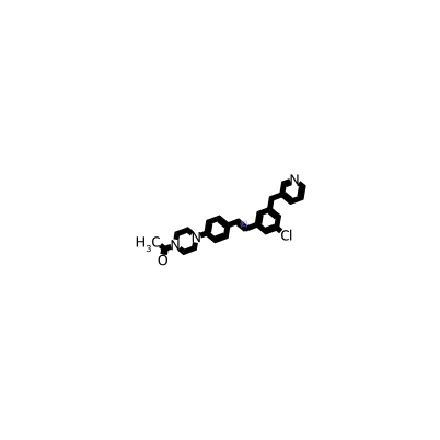 CC(=O)N1CCN(c2ccc(/C=C/c3cc(Cl)cc(Cc4cccnc4)c3)cc2)CC1